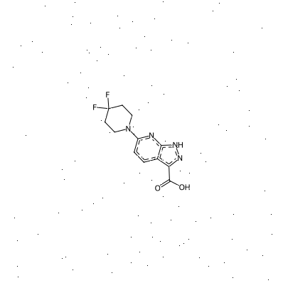 O=C(O)c1n[nH]c2nc(N3CCC(F)(F)CC3)ccc12